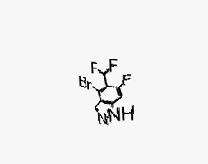 Fc1cc2[nH]ncc2c(Br)c1C(F)F